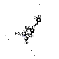 CC(C)(C)OC(=O)N/C(=N\C(=O)O)N1C[C@H](O)C[C@H]1c1nc(-c2ccc(OCCCc3ccc(Cl)c(Cl)c3)c(C(F)(F)F)c2)no1